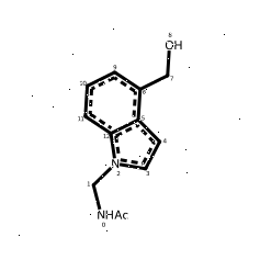 CC(=O)NCn1ccc2c(CO)cccc21